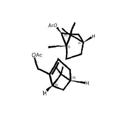 CC(=O)OCC1=CC[C@@H]2C[C@H]1C2(C)C.CC(=O)O[C@H]1C[C@@H]2CC[C@@]1(C)C2(C)C